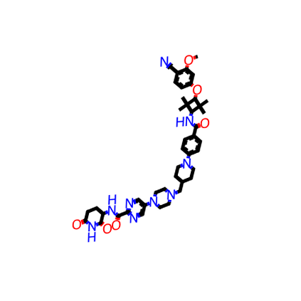 COc1cc(OC2C(C)(C)C(NC(=O)c3ccc(N4CCC(CN5CCN(c6cnc(C(=O)NC7CCC(=O)NC7=O)nc6)CC5)CC4)cc3)C2(C)C)ccc1C#N